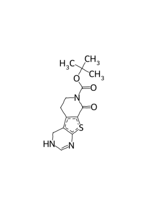 CC(C)(C)OC(=O)N1CCc2c(sc3c2CNC=N3)C1=O